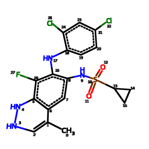 CC1=CNNc2c1cc(NS(=O)(=O)C1CC1)c(Nc1ccc(Cl)cc1Cl)c2F